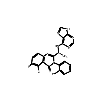 C[C@H](Nc1ncnc2[nH]cnc12)c1nc2ccc(F)c(Cl)c2c(=O)n1-c1ccccc1Cl